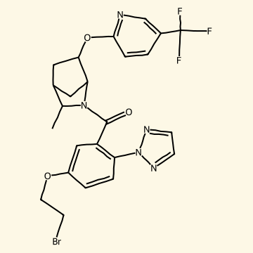 CC1C2CC(Oc3ccc(C(F)(F)F)cn3)C(C2)N1C(=O)c1cc(OCCBr)ccc1-n1nccn1